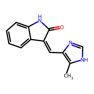 Cc1[nH]cnc1/C=C1\C(=O)Nc2ccccc21